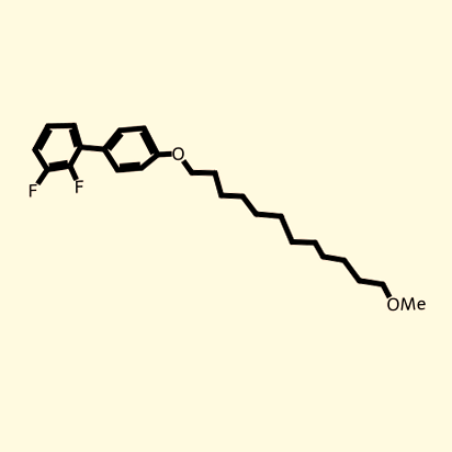 COCCCCCCCCCCCCOc1ccc(-c2cccc(F)c2F)cc1